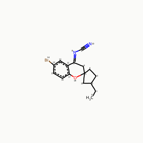 CCC1CCC2(CC(=NC#N)c3cc(Br)ccc3O2)C1